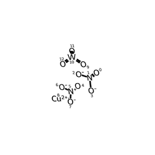 O=[N+]([O-])[O-].O=[N+]([O-])[O-].[Cu+2].[O]=[W](=[O])=[O]